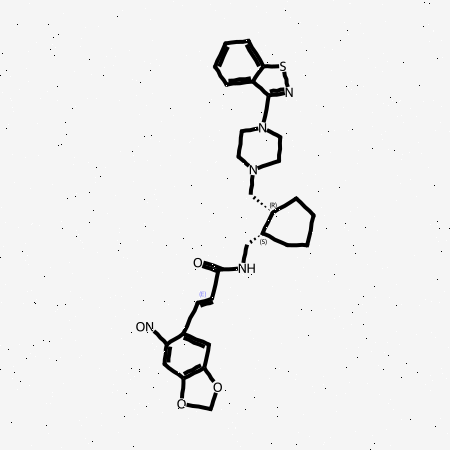 O=Nc1cc2c(cc1/C=C/C(=O)NC[C@H]1CCCC[C@H]1CN1CCN(c3nsc4ccccc34)CC1)OCO2